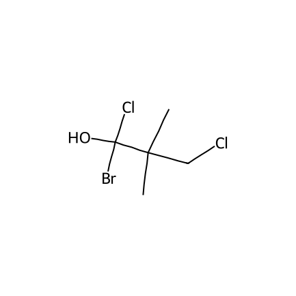 CC(C)(CCl)C(O)(Cl)Br